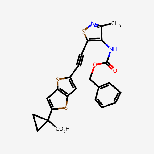 Cc1nsc(C#Cc2cc3sc(C4(C(=O)O)CC4)cc3s2)c1NC(=O)OCc1ccccc1